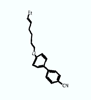 CCC=CCCCCOc1ccc(-c2ccc(C#N)cc2)cc1